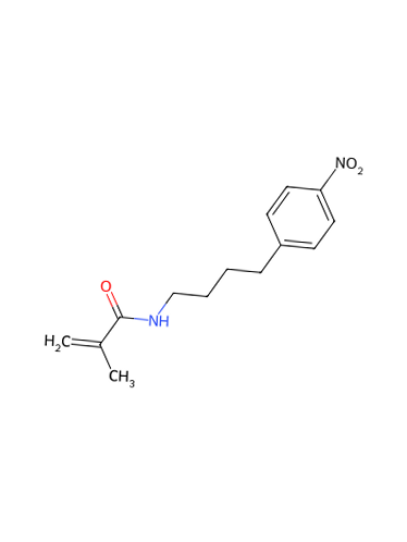 C=C(C)C(=O)NCCCCc1ccc([N+](=O)[O-])cc1